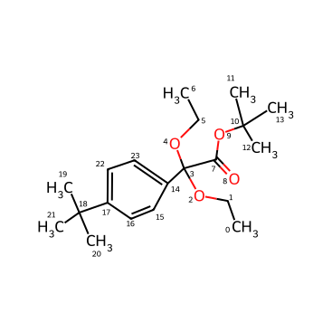 CCOC(OCC)(C(=O)OC(C)(C)C)c1ccc(C(C)(C)C)cc1